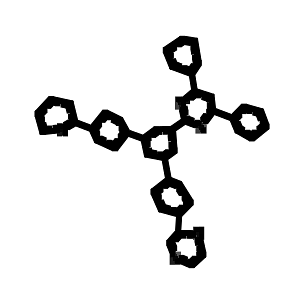 c1ccc(-c2cc(-c3ccccc3)nc(-c3cc(-c4ccc(-c5ccccn5)cc4)cc(-c4ccc(-c5cnccn5)cc4)c3)n2)cc1